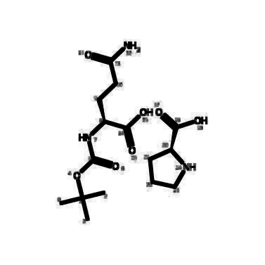 CC(C)(C)OC(=O)N[C@@H](CCC(N)=O)C(=O)O.O=C(O)[C@@H]1CCCN1